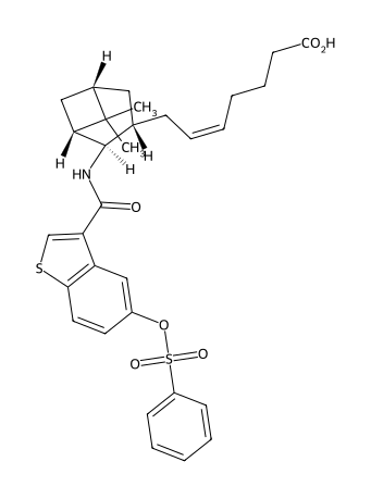 CC1(C)[C@H]2C[C@H](C/C=C\CCCC(=O)O)[C@@H](NC(=O)c3csc4ccc(OS(=O)(=O)c5ccccc5)cc34)[C@@H]1C2